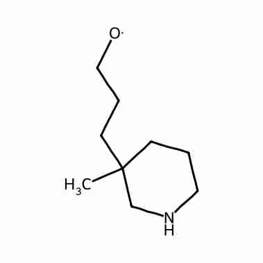 CC1(CCC[O])CCCNC1